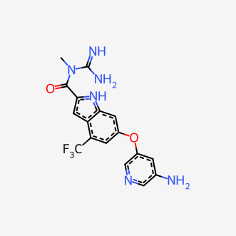 CN(C(=N)N)C(=O)c1cc2c(C(F)(F)F)cc(Oc3cncc(N)c3)cc2[nH]1